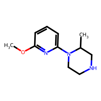 COc1cccc(N2CCNCC2C)n1